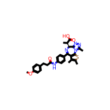 COc1ccc(CCC(=O)Nc2ccc(C3=N[C@@H](C(C)C(=O)O)c4nnc(C)n4-c4sc(C)c(C)c43)cc2)cc1